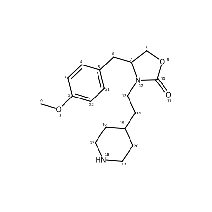 COc1ccc(CC2COC(=O)N2CCC2CCNCC2)cc1